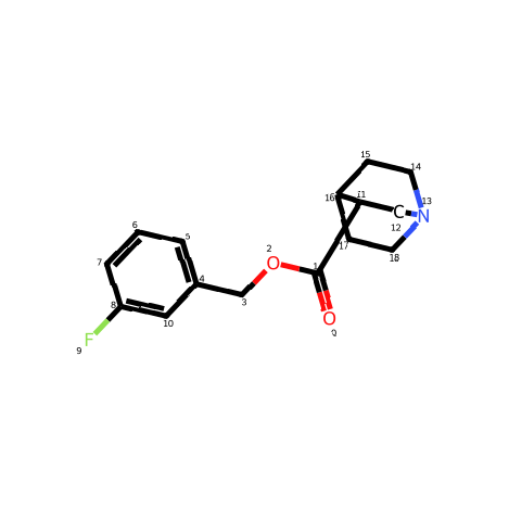 O=C(OCc1cccc(F)c1)C1CN2CCC1CC2